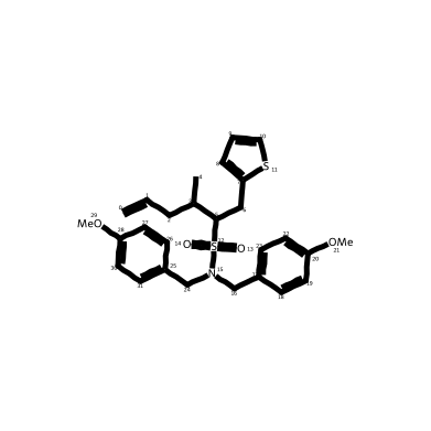 C=CCC(C)C(Cc1cccs1)S(=O)(=O)N(Cc1ccc(OC)cc1)Cc1ccc(OC)cc1